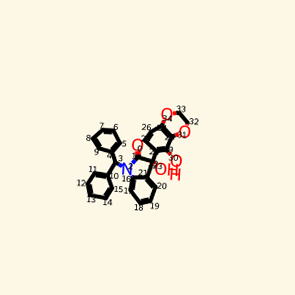 O=C1N(C(c2ccccc2)c2ccccc2)c2ccccc2C1(O)c1ccc2c(c1O)OCCO2